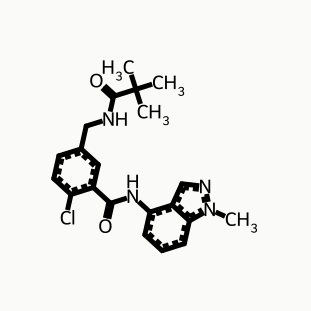 Cn1ncc2c(NC(=O)c3cc(CNC(=O)C(C)(C)C)ccc3Cl)cccc21